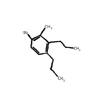 CCCc1cc[c]([Sb])c(C)c1CCC